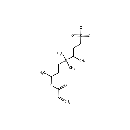 C=CC(=O)OC(C)CC[N+](C)(C)C(C)CCS(=O)(=O)[O-]